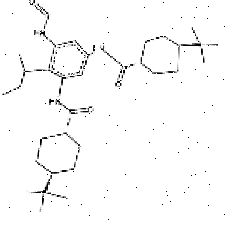 CCC(C)c1c(NC=O)cc(NC(=O)[C@H]2CC[C@H](C(C)(C)C)CC2)cc1NC(=O)[C@H]1CC[C@H](C(C)(C)C)CC1